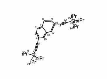 CC(C)[Si](C#Cc1ccc2ccc(C#C[Si](C(C)C)(C(C)C)C(C)C)cc2c1)(C(C)C)C(C)C